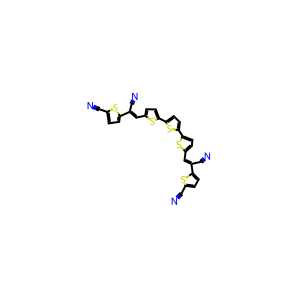 N#C/C(=C\c1ccc(-c2ccc(-c3ccc(/C=C(\C#N)c4ccc(C#N)s4)s3)s2)s1)c1ccc(C#N)s1